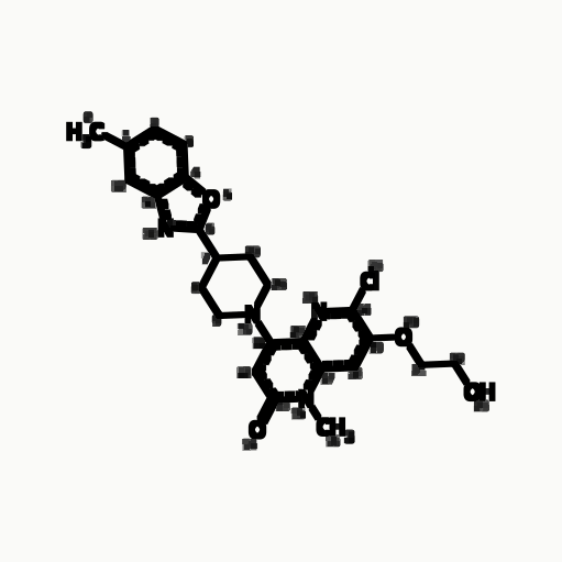 Cc1ccc2oc(C3CCN(c4cc(=O)n(C)c5cc(OCCO)c(Cl)nc45)CC3)nc2c1